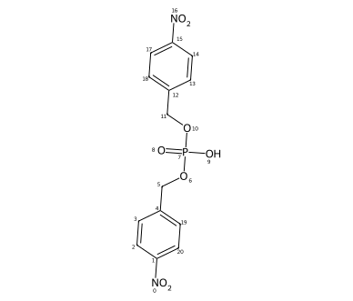 O=[N+]([O-])c1ccc(COP(=O)(O)OCc2ccc([N+](=O)[O-])cc2)cc1